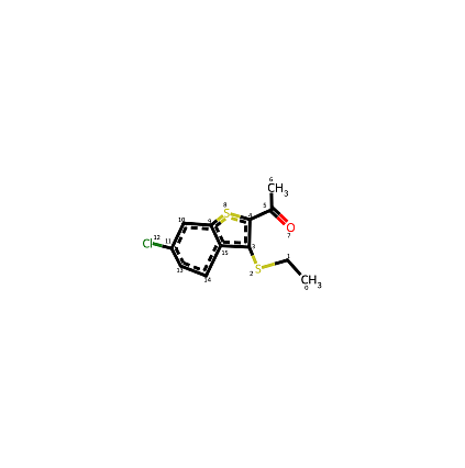 CCSc1c(C(C)=O)sc2cc(Cl)ccc12